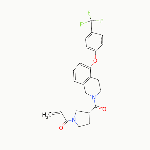 C=CC(=O)N1CCC(C(=O)N2CCc3c(cccc3Oc3ccc(C(F)(F)F)cc3)C2)C1